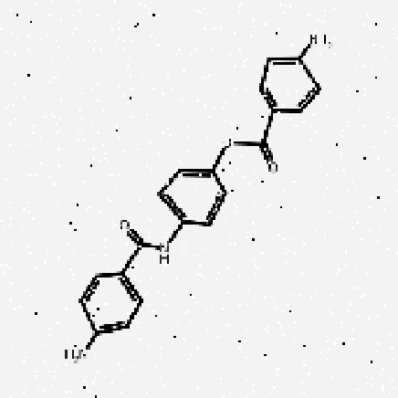 Nc1ccc(C(=O)Nc2ccc(OC(=O)c3ccc(N)cc3)cc2)cc1